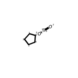 [CH]1CCCC1.[O]=[Ti]=[O]